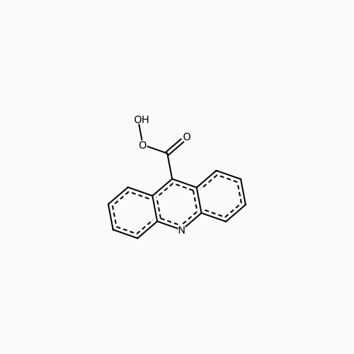 O=C(OO)c1c2ccccc2nc2ccccc12